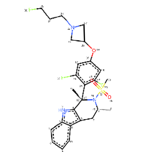 C[C@@H]1Cc2c([nH]c3ccccc23)[C@](C)(c2c(F)cc(OC3CN(CCCF)C3)cc2F)N1S(C)(=O)=O